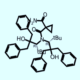 CC(C)(C)[C@@H](N(C(=O)C1(C(N)=O)CC1)[C@H](C(C)(C)C)C(O)(Cc1ccccc1)Cc1ccccc1)C(O)(Cc1ccccc1)Cc1ccccc1